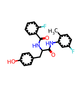 Cc1ccc(F)cc1NC(=O)C(Cc1ccc(O)cc1)NC(=O)c1ccccc1F